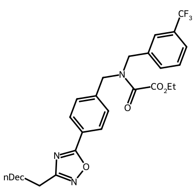 CCCCCCCCCCCc1noc(-c2ccc(CN(Cc3cccc(C(F)(F)F)c3)C(=O)C(=O)OCC)cc2)n1